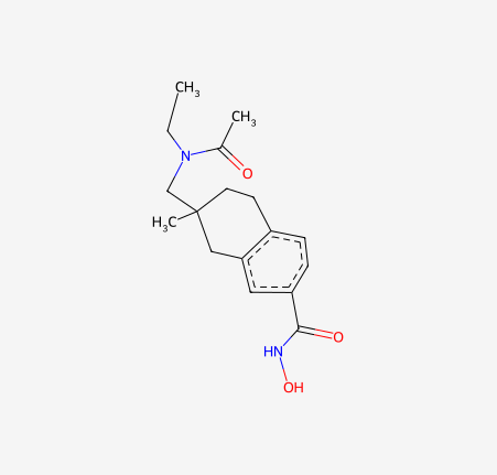 CCN(CC1(C)CCc2ccc(C(=O)NO)cc2C1)C(C)=O